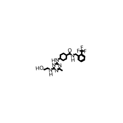 Cc1nc(NCCO)nc(NC2CCC(C(=O)NCc3ccccc3C(F)(F)F)CC2)n1